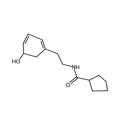 O=C(NCCC1=CC=CC(O)C1)C1CCCC1